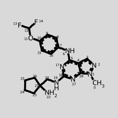 Cn1ncc2c(Nc3ccc(OC(F)F)cc3)nc(NCC3(N)CCCC3)nc21